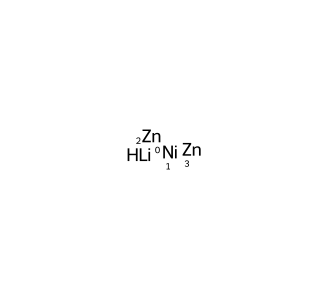 [LiH].[Ni].[Zn].[Zn]